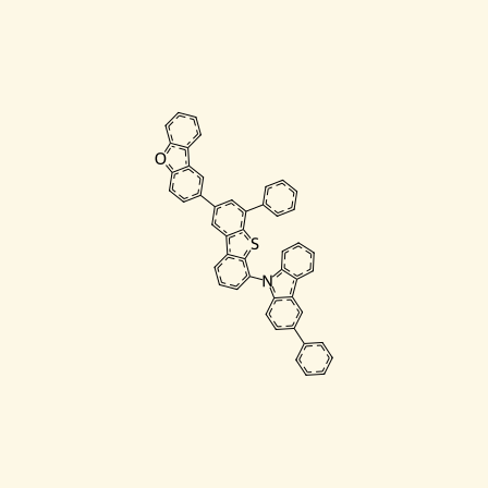 c1ccc(-c2ccc3c(c2)c2ccccc2n3-c2cccc3c2sc2c(-c4ccccc4)cc(-c4ccc5oc6ccccc6c5c4)cc23)cc1